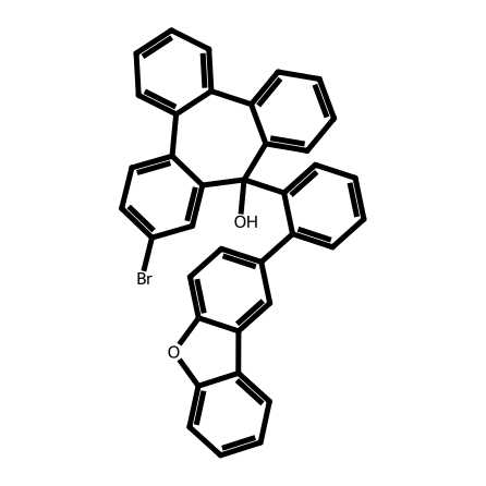 OC1(c2ccccc2-c2ccc3oc4ccccc4c3c2)c2ccccc2-c2ccccc2-c2ccc(Br)cc21